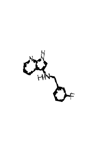 Fc1cccc(CNc2c[nH]c3ncccc23)c1